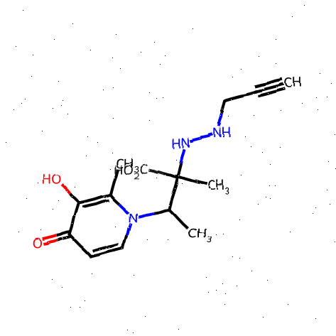 C#CCNNC(C)(C(=O)O)C(C)n1ccc(=O)c(O)c1C